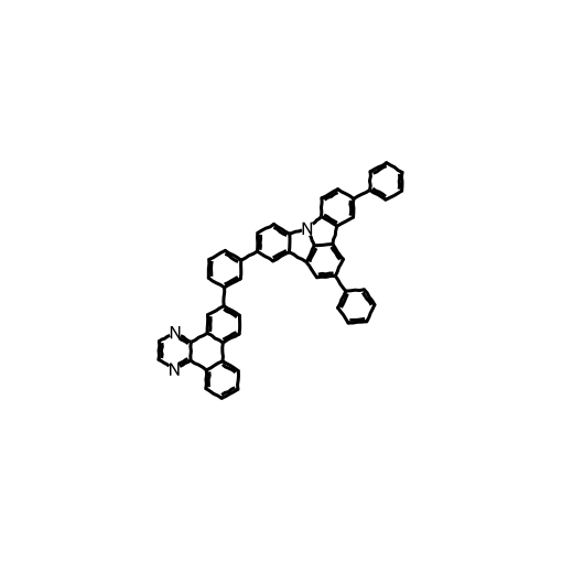 c1ccc(-c2ccc3c(c2)c2cc(-c4ccccc4)cc4c5cc(-c6cccc(-c7ccc8c9ccccc9c9nccnc9c8c7)c6)ccc5n3c24)cc1